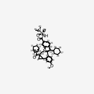 COc1ccc2c(c1)C1CC1(C(=O)N1C3CCC1CC3)Cn1c-2c(C2CCCCC2)c2ccc(C(=O)NS(=O)(=O)N(C)C)cc21